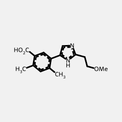 COCCc1ncc(-c2cc(C(=O)O)c(C)cc2C)[nH]1